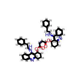 O=C(/C=C\C(=O)OC1CCCc2nc3ccccc3c(NCCc3ccccc3)c21)OC1CCCc2nc3ccccc3c(NCCc3ccccc3)c21